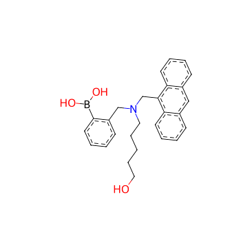 OCCCCCN(Cc1ccccc1B(O)O)Cc1c2ccccc2cc2ccccc12